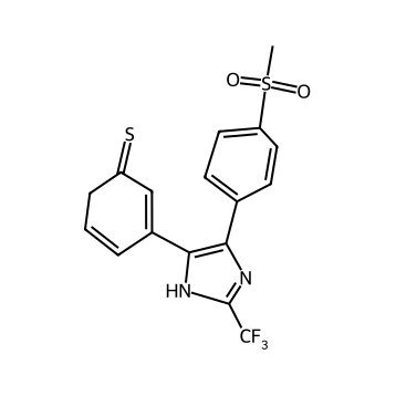 CS(=O)(=O)c1ccc(-c2nc(C(F)(F)F)[nH]c2C2=CC(=S)CC=C2)cc1